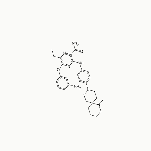 CCc1nc(C(N)=O)c(Nc2ccc(N3CCC4(CCCCN4C)CC3)cc2)nc1Oc1cccc(N)c1